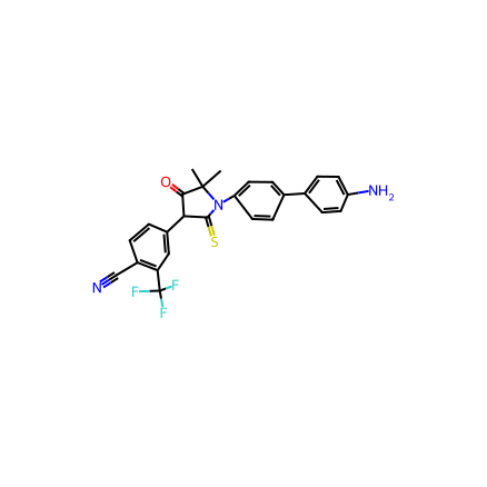 CC1(C)C(=O)C(c2ccc(C#N)c(C(F)(F)F)c2)C(=S)N1c1ccc(-c2ccc(N)cc2)cc1